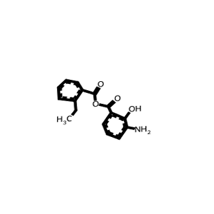 CCc1ccccc1C(=O)OC(=O)c1cccc(N)c1O